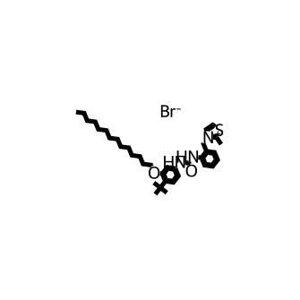 CCCCCCCCCCCCCCOc1cc(NC(=O)Nc2ccccc2C[n+]2ccsc2C)ccc1C(C)(C)C.[Br-]